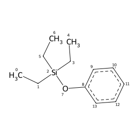 CC[Si](CC)(CC)Oc1c[c]ccc1